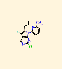 CCCc1c(F)c2cnc(Cl)nc2n1-c1cccc(N)n1